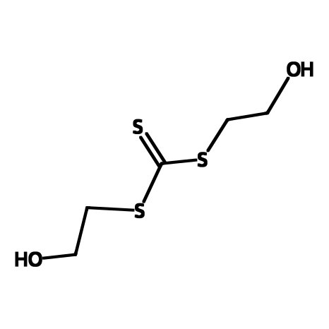 OCCSC(=S)SCCO